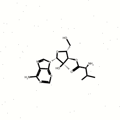 CC(C)[C@H](N)C(=O)O[C@@H]1[C@@H](CO)O[C@@H](n2cnc3c(N)ncnc32)[C@]1(C)O